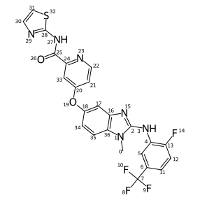 Cn1c(Nc2cc(C(F)(F)F)ccc2F)nc2cc(Oc3ccnc(C(=O)Nc4nccs4)c3)ccc21